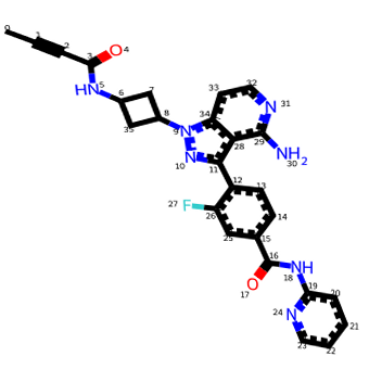 CC#CC(=O)NC1CC(n2nc(-c3ccc(C(=O)Nc4ccccn4)cc3F)c3c(N)nccc32)C1